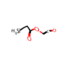 O=C=COC(=O)C[SiH3]